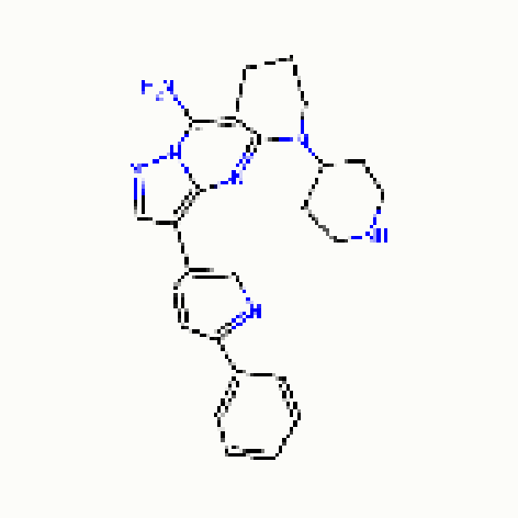 Nc1c2c(nc3c(-c4ccc(-c5ccccc5)nc4)cnn13)N(C1CCNCC1)CCC2